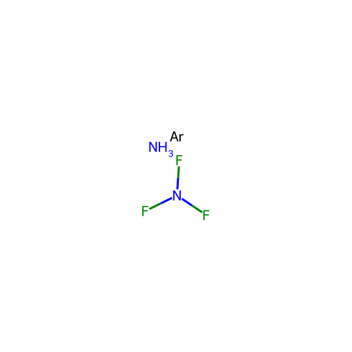 FN(F)F.N.[Ar]